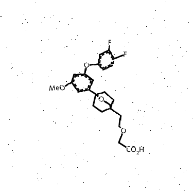 COc1cc(Oc2ccc(F)c(F)c2)cc(C23CCC(CCOCC(=O)O)(CC2)CO3)c1